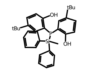 CC(C)(C)c1ccc(O)c(P(c2cc(C(C)(C)C)ccc2O)[Si](C)(c2ccccc2)c2ccccc2)c1